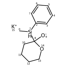 C[SiH](c1ccccc1)C1([O-])CCCCO1.[K+]